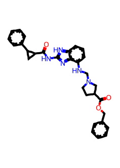 O=C(OCc1ccccc1)C1CCN(CNc2cccc3[nH]c(NC(=O)C4CC4c4ccccc4)nc23)C1